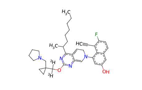 [2H]C([2H])(Oc1nc(C(C)CCCCCC)c2c(n1)=CN(c1cc(O)cc3ccc(F)c(C#C)c13)CC=2)C1(CN2CCCC2)CC1